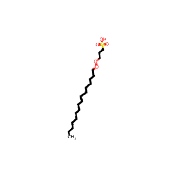 CCCCCCCCCCCCCCCCOOCCCS(=O)(=O)O